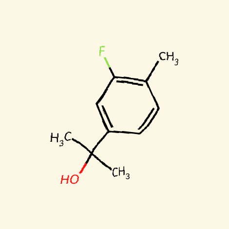 Cc1ccc(C(C)(C)O)cc1F